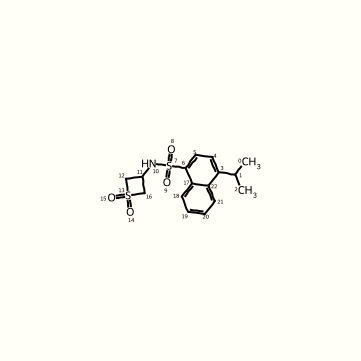 CC(C)c1ccc(S(=O)(=O)NC2CS(=O)(=O)C2)c2ccccc12